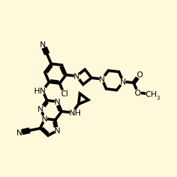 COC(=O)N1CCN(C2CN(c3cc(C#N)cc(Nc4nc(NC5CC5)c5ncc(C#N)n5n4)c3Cl)C2)CC1